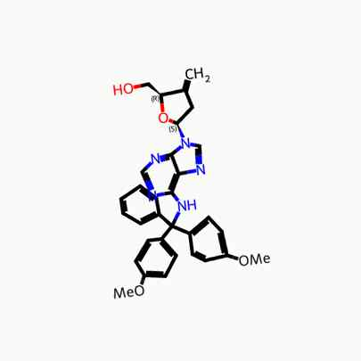 C=C1C[C@@H](n2cnc3c(NC(c4ccccc4)(c4ccc(OC)cc4)c4ccc(OC)cc4)ncnc32)O[C@H]1CO